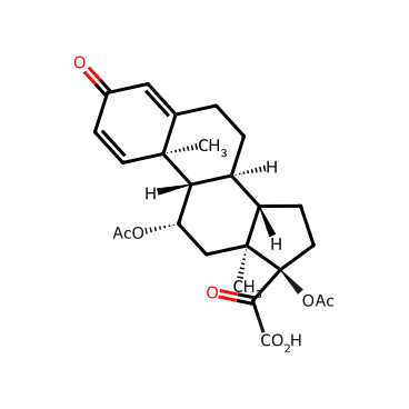 CC(=O)O[C@H]1C[C@@]2(C)[C@@H](CC[C@]2(OC(C)=O)C(=O)C(=O)O)[C@@H]2CCC3=CC(=O)C=C[C@]3(C)[C@H]21